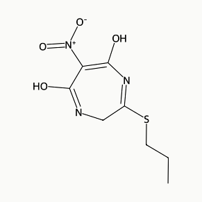 CCCSC1=NC(O)=C([N+](=O)[O-])C(O)=NC1